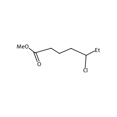 CCC(Cl)CCCC(=O)OC